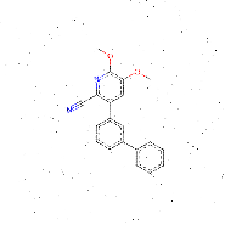 COc1cc(-c2cccc(-c3ccccc3)c2)c(C#N)nc1OC